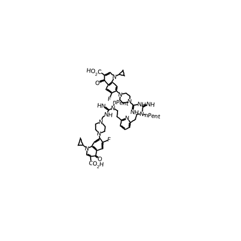 CCCCCN(CCc1cccc(CCN(CCCCC)C(=N)NC(=N)N2CCN(c3cc4c(cc3F)c(=O)c(C(=O)O)cn4C3CC3)CC2)n1)C(=N)NCN1CCN(c2cc3c(cc2F)c(=O)c(C(=O)O)cn3C2CC2)CC1